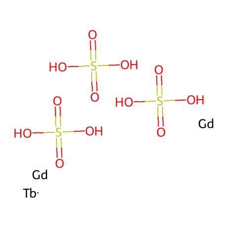 O=S(=O)(O)O.O=S(=O)(O)O.O=S(=O)(O)O.[Gd].[Gd].[Tb]